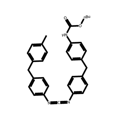 CCCCOC(=O)Nc1ccc(Cc2ccc(N=C=Nc3ccc(Cc4ccc(C)cc4)cc3)cc2)cc1